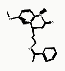 COc1ccc2c(c1)C(CCNC(C)c1ccccc1)CC(=O)N2C